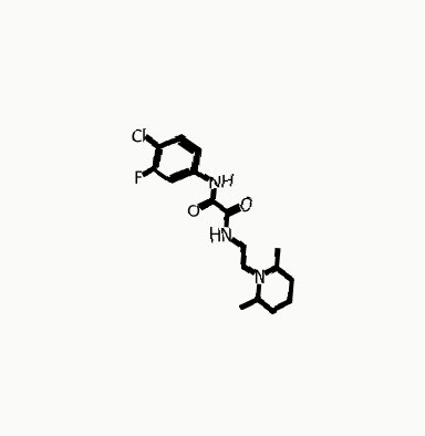 CC1CCCC(C)N1CCNC(=O)C(=O)Nc1ccc(Cl)c(F)c1